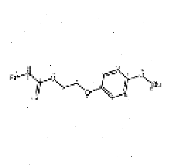 CCNC(=S)OCCOc1ccc(OC(C)CC)cc1